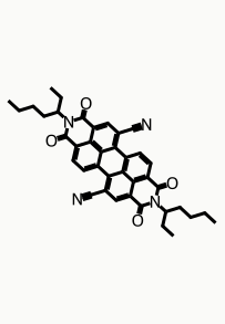 CCCCC(CC)N1C(=O)c2ccc3c4c(C#N)cc5c6c(ccc(c7c(C#N)cc(c2c37)C1=O)c64)C(=O)N(C(CC)CCCC)C5=O